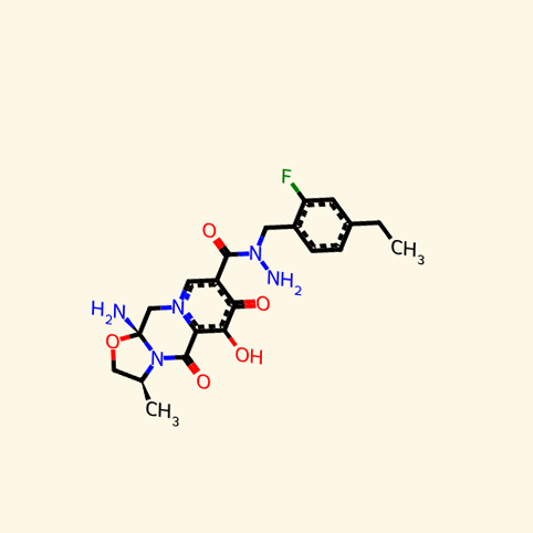 CCc1ccc(CN(N)C(=O)c2cn3c(c(O)c2=O)C(=O)N2[C@@H](C)CO[C@]2(N)C3)c(F)c1